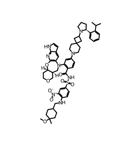 COC1(C)CCC(CNc2ccc(S(=O)(=O)NC(=O)c3ccc(N4CCC5(CC4)CC(N4CCC[C@H]4c4ccccc4C(C)C)C5)cc3N3C[C@H]4COCC[C@@H]4Oc4nc5[nH]ccc5cc43)cc2[N+](=O)[O-])CC1